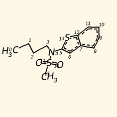 CCCCN(c1cc2ccccc2s1)S(C)(=O)=O